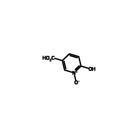 O=C(O)c1ccc(O)[n+]([O-])c1